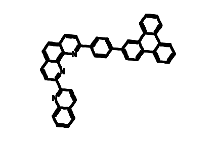 c1ccc2nc(-c3ccc4ccc5ccc(-c6ccc(-c7ccc8c9ccccc9c9ccccc9c8c7)cc6)nc5c4n3)ccc2c1